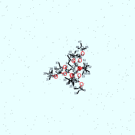 [CH2]CC[Si]([Si](O[SiH2]O[Si](C)(C)C)(O[Si](C)(C)C)O[Si](C)(C)C)([Si](O[SiH2]O[Si](C)(C)C)(O[Si](C)(C)C)O[Si](C)(C)C)[Si](O[SiH2]O[Si](C)(C)C)(O[Si](C)(C)C)O[Si](C)(C)C